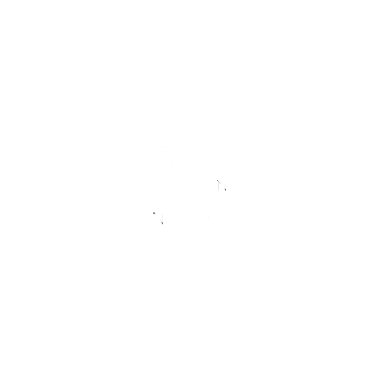 c1ccc(-c2cn(-c3ccccc3)c3c2ccc2c4ccccc4n(-c4ccc5c(ccc6ccccc65)c4)c23)cc1